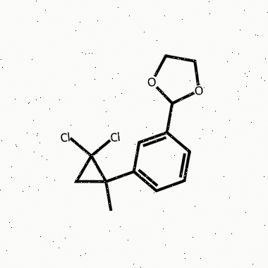 CC1(c2cccc(C3OCCO3)c2)CC1(Cl)Cl